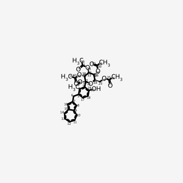 CO[C@@]1(c2cc(Cc3cc4cccccc-4c3)ccc2O)O[C@H](COC(C)=O)[C@@H](OC(C)=O)[C@H](OC(C)=O)[C@H]1OC(C)=O